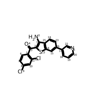 Nc1c(C(=O)c2ccc(Cl)cc2Cl)sc2cc(-c3cccnc3)ccc12